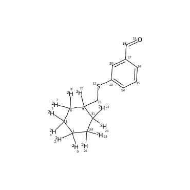 [2H]C1([2H])C([2H])([2H])C([2H])([2H])C([2H])(CSc2cccc(C=O)c2)C([2H])([2H])C1([2H])[2H]